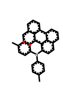 Cc1ccc(N(c2ccc(C)cc2)c2ccc3cccc4c5cccc6cccc(c2c34)c65)cc1